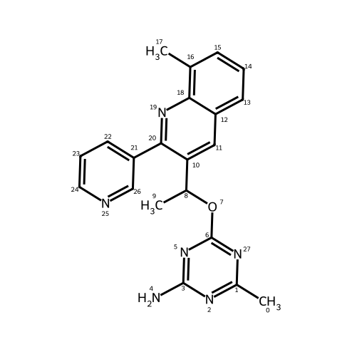 Cc1nc(N)nc(OC(C)c2cc3cccc(C)c3nc2-c2cccnc2)n1